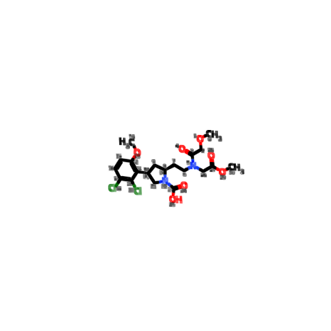 COCC(=O)N(CC[C@@H]1C[C@H](c2c(OC)ccc(Cl)c2Cl)CN1C(=O)O)CC(=O)OC